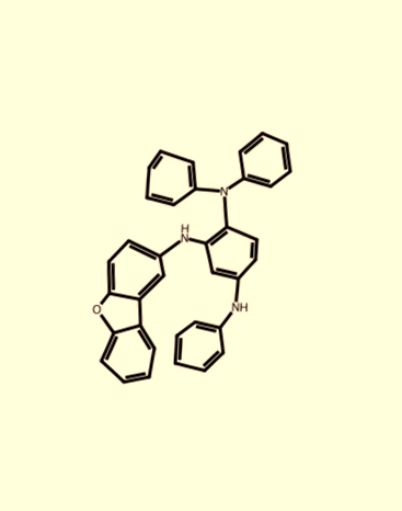 c1ccc(Nc2ccc(N(c3ccccc3)c3ccccc3)c(Nc3ccc4oc5ccccc5c4c3)c2)cc1